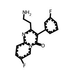 NCCc1nc2ccc(F)cn2c(=O)c1-c1cccc(F)c1